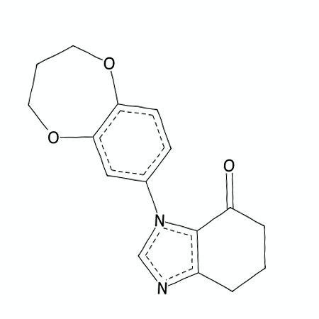 O=C1CCCc2ncn(-c3ccc4c(c3)OCCCO4)c21